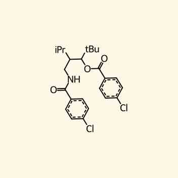 CC(C)C(CNC(=O)c1ccc(Cl)cc1)C(OC(=O)c1ccc(Cl)cc1)C(C)(C)C